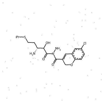 CC(C)SCC[C@@H](N)C(O)C(=O)N(N)C(=O)C1=Cc2cc(Cl)ccc2OC1